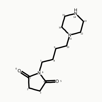 O=C1CCC(=O)N1CCCCN1CCNCC1